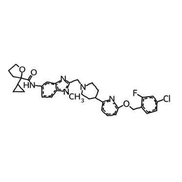 Cn1c(CN2CCC(c3cccc(OCc4ccc(Cl)cc4F)n3)CC2)nc2cc(NC(=O)C3(C4CC4)CCCO3)ccc21